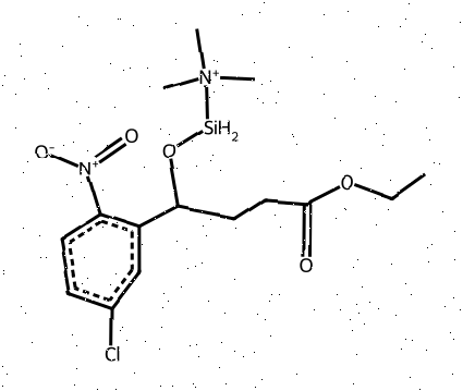 CCOC(=O)CCC(O[SiH2][N+](C)(C)C)c1cc(Cl)ccc1[N+](=O)[O-]